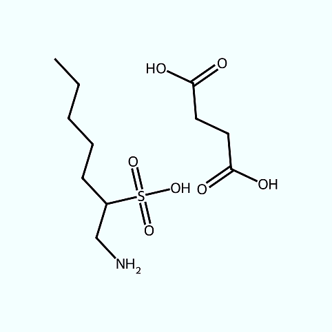 CCCCCC(CN)S(=O)(=O)O.O=C(O)CCC(=O)O